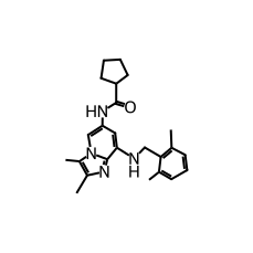 Cc1cccc(C)c1CNc1cc(NC(=O)C2CCCC2)cn2c(C)c(C)nc12